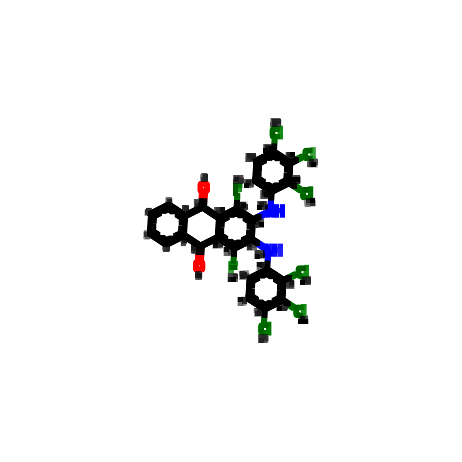 O=C1c2ccccc2C(=O)c2c(F)c(Nc3ccc(Cl)c(Cl)c3Cl)c(Nc3ccc(Cl)c(Cl)c3Cl)c(F)c21